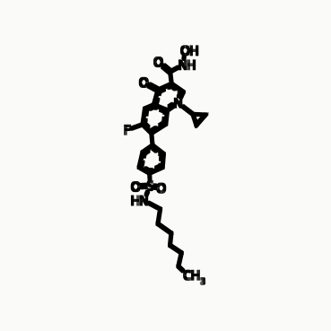 CCCCCCCNS(=O)(=O)c1ccc(-c2cc3c(cc2F)c(=O)c(C(=O)NO)cn3C2CC2)cc1